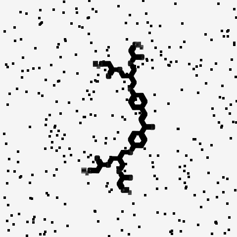 C=CC(=O)OCC(COC(=O)C=C)COc1ccc(/C=C/C(=O)c2ccc(OCC(COC(=O)C=C)COC(=O)C=C)cc2)cc1